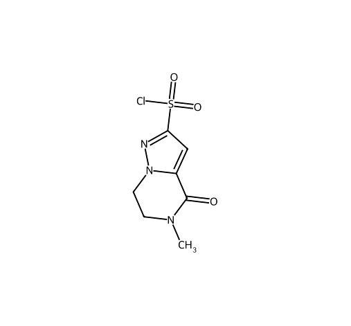 CN1CCn2nc(S(=O)(=O)Cl)cc2C1=O